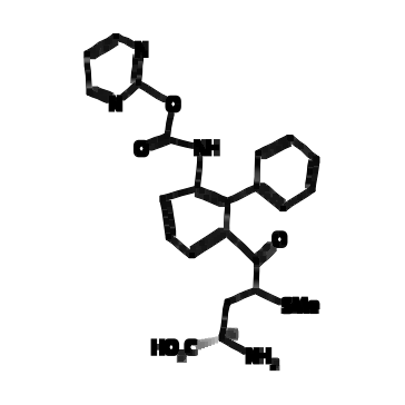 CSC(C[C@H](N)C(=O)O)C(=O)c1cccc(NC(=O)Oc2ncccn2)c1-c1ccccc1